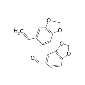 C=Cc1ccc2c(c1)OCO2.O=Cc1ccc2c(c1)OCO2